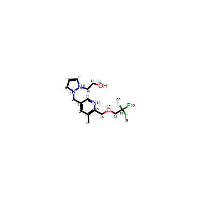 Cc1cc(CN2CC=CN2CCO)cnc1COCC(F)(F)F